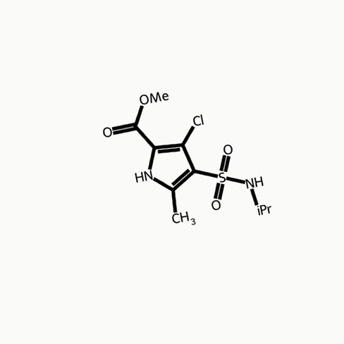 COC(=O)c1[nH]c(C)c(S(=O)(=O)NC(C)C)c1Cl